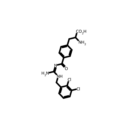 NC(=NC(=O)c1ccc(CC(N)C(=O)O)cc1)NCc1cccc(Cl)c1Cl